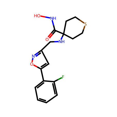 O=C(NO)C1(NCc2cc(-c3ccccc3F)on2)CCSCC1